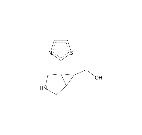 OCC1C2CNCC12c1nccs1